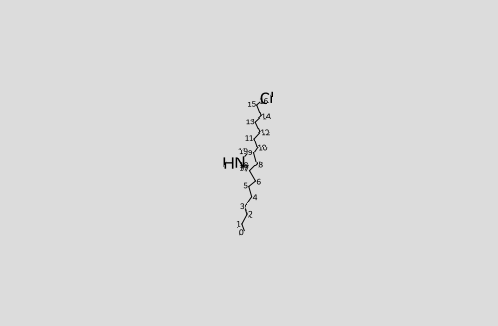 CCCCCCCCCCCCCCCCCl.CNC